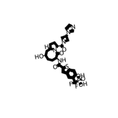 O=C(N[C@H]1CC[C@H](O)C[C@H]2CC[C@@H](C(=O)N3CC(n4ccnc4)C3)N2C1=O)c1cc2cc(C(F)(F)P(=O)(O)O)ccc2s1